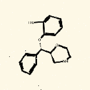 Oc1ccccc1O[C@@H](c1ccccc1)[C@@H]1CNCCO1